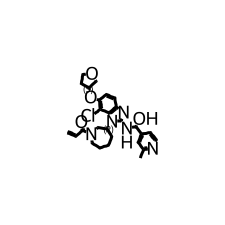 C=CC(=O)N1CCCC[C@@H](n2c(NC(O)c3ccnc(C)c3)nc3ccc(O[C@H]4CCOC4)c(Cl)c32)C1